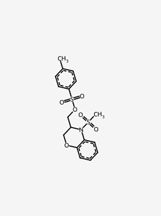 Cc1ccc(S(=O)(=O)OCC2COc3ccccc3N2S(C)(=O)=O)cc1